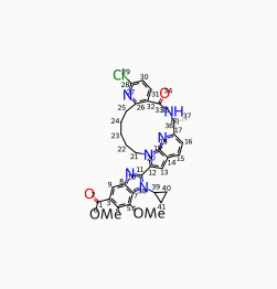 COC(=O)c1cc(OC)c2c(c1)nc(-c1cc3ccc4nc3n1CCCCCc1nc(Cl)ccc1C(=O)N[C@@H]4C)n2C1CC1